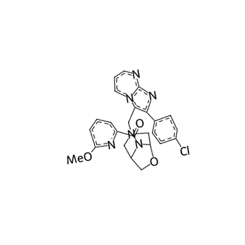 COc1cccc(C(=O)N2C3COC2CN(Cc2c(-c4ccc(Cl)cc4)nc4ncccn24)C3)n1